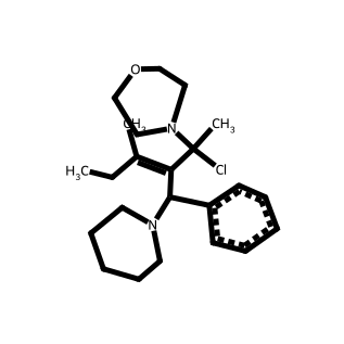 CCC(C)=C(C(c1ccccc1)N1CCCCC1)C(C)(Cl)N1CCOCC1